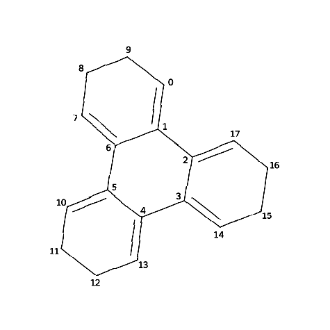 C1=c2c3c(c4c(c2=CCC1)=CCCC=4)=CCCC=3